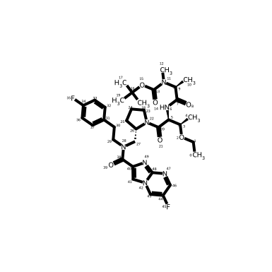 CCO[C@H](C)[C@H](NC(=O)[C@H](C)N(C)C(=O)OC(C)(C)C)C(=O)N1CCC[C@H]1CN(CCc1ccc(F)cc1)C(=O)c1cn2cc(F)cnc2n1